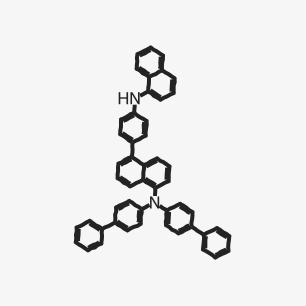 c1ccc(-c2ccc(N(c3ccc(-c4ccccc4)cc3)c3cccc4c(-c5ccc(Nc6cccc7ccccc67)cc5)cccc34)cc2)cc1